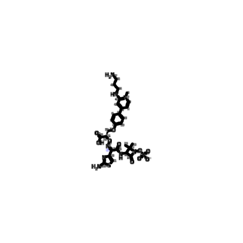 C[n+]1ccc(-c2ccc(OC[C@H](O/N=C(\C(=O)NC3C(=O)N(OS(=O)(=O)[O-])C3(C)C)c3csc(N)n3)C(=O)O)cc2)cc1NCCCN